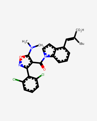 CN(C)c1onc(-c2c(Cl)cccc2Cl)c1C(=O)n1ccc2c(/C=C(/C(=O)O)C(C)(C)C)cccc21